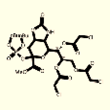 CCCCOP(=O)(OCCCC)OC1(C(=O)OC)CC2OC(=O)NC2C([C@H](OC(=O)CCl)[C@@H](COC(=O)CCl)OC(=O)CCl)O1